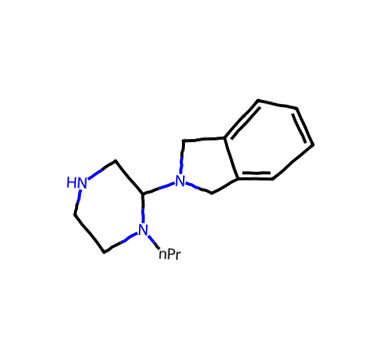 CCCN1CCNCC1N1Cc2ccccc2C1